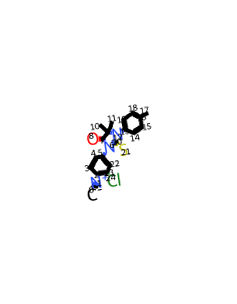 [C-]#[N+]c1ccc(N2C(=O)C(C)(C)N(c3ccc(C)cc3)C2=S)cc1Cl